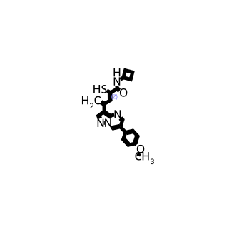 C=C(/C=C(\S)C(=O)NC1CCC1)c1cnn2cc(-c3ccc(OC)cc3)cnc12